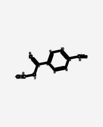 COc1ccc(C(=O)O[C]=O)cc1